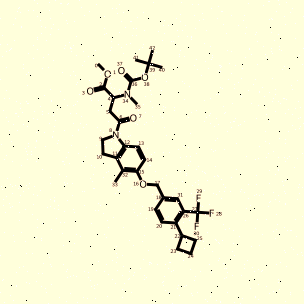 COC(=O)C(CC(=O)N1CCc2c1ccc(OCc1ccc(C3CCC3)c(C(F)(F)F)c1)c2C)N(C)C(=O)OC(C)(C)C